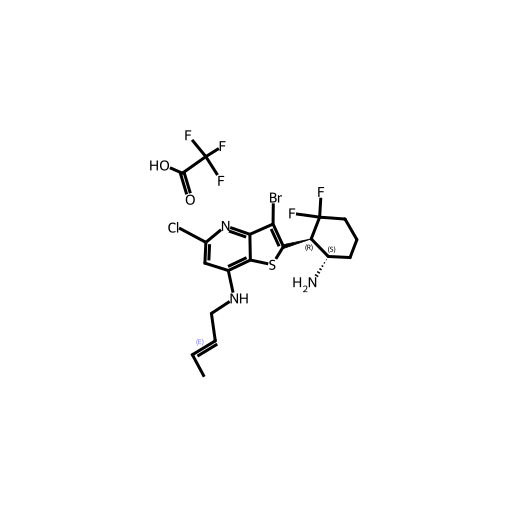 C/C=C/CNc1cc(Cl)nc2c(Br)c([C@@H]3[C@@H](N)CCCC3(F)F)sc12.O=C(O)C(F)(F)F